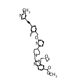 COC(=O)c1ccc2nc(CN3CCC(c4cccc(OCc5ccc(C#Cc6cnn(C)c6)cc5F)n4)CC3)n(C[C@@H]3CCO3)c2c1